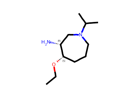 CCO[C@H]1CCCN(C(C)C)C[C@H]1N